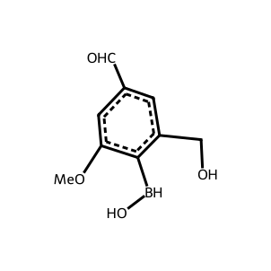 COc1cc(C=O)cc(CO)c1BO